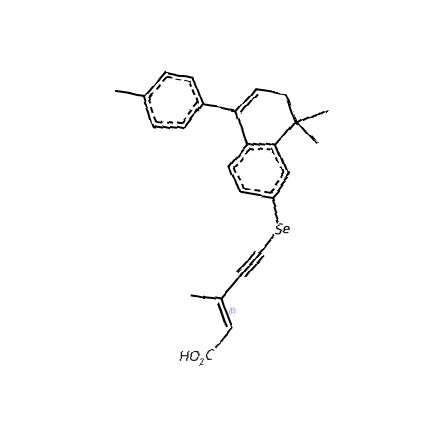 C/C(C#C[Se]c1ccc2c(c1)C(C)(C)CC=C2c1ccc(C)cc1)=C\C(=O)O